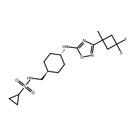 CC1(c2noc(N[C@H]3CC[C@H](CNS(=O)(=O)C4CC4)CC3)n2)CC(F)(F)C1